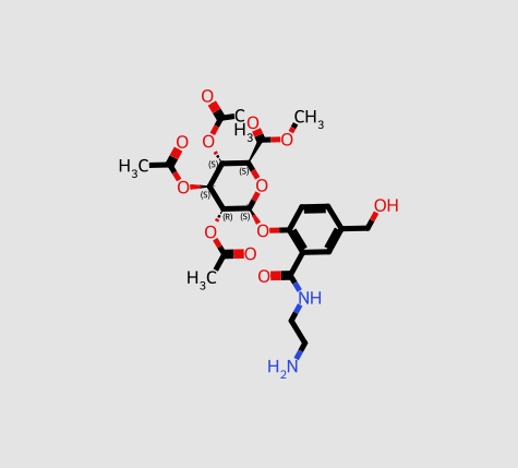 COC(=O)[C@H]1O[C@@H](Oc2ccc(CO)cc2C(=O)NCCN)[C@H](OC(C)=O)[C@@H](OC(C)=O)[C@@H]1OC(C)=O